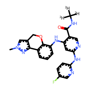 [2H]C([2H])([2H])NC(=O)c1cnc(Nc2ccc(F)cn2)cc1Nc1cccc2c1OCc1cn(C)nc1-2